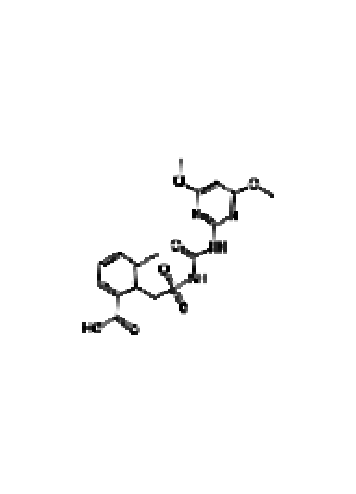 COc1cc(OC)nc(NC(=O)NS(=O)(=O)Cc2c(C)cccc2C(=O)O)n1